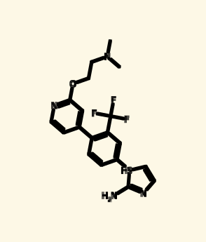 CN(C)CCOc1cc(-c2ccc([SH]3C=CN=C3N)cc2C(F)(F)F)ccn1